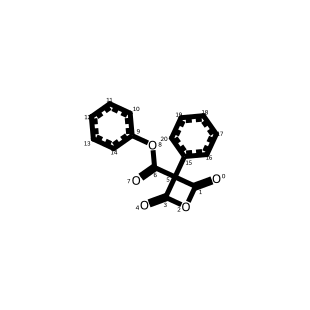 O=C1OC(=O)C1(C(=O)Oc1ccccc1)c1ccccc1